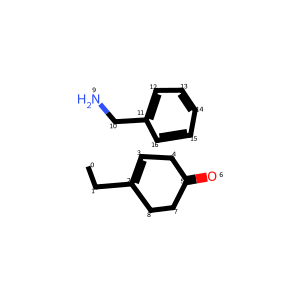 CCC1=CCC(=O)CC1.NCc1ccccc1